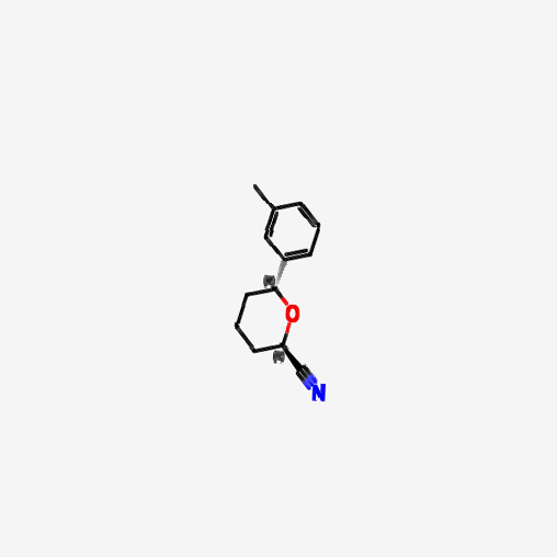 Cc1cccc([C@H]2CCC[C@H](C#N)O2)c1